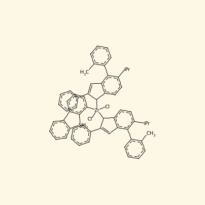 Cc1ccccc1-c1c(C(C)C)ccc2c1C=C(c1ccccc1)[CH]2[Zr]([Cl])([Cl])([c]1cccc2c1[SiH2]c1ccccc1-2)[CH]1C(c2ccccc2)=Cc2c1ccc(C(C)C)c2-c1ccccc1C